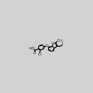 Cc1oc2c(Oc3ccc(C(=O)O)c(Cl)c3)cccc2c1CF